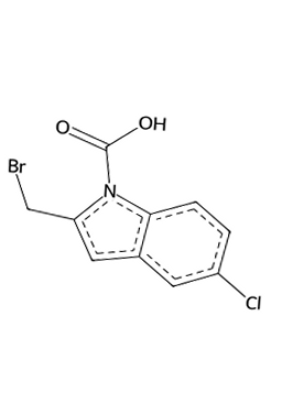 O=C(O)n1c(CBr)cc2cc(Cl)ccc21